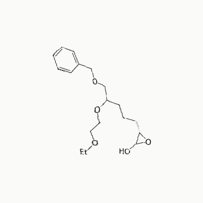 CCOCCOC(CCC[C@@H]1OC1O)COCc1ccccc1